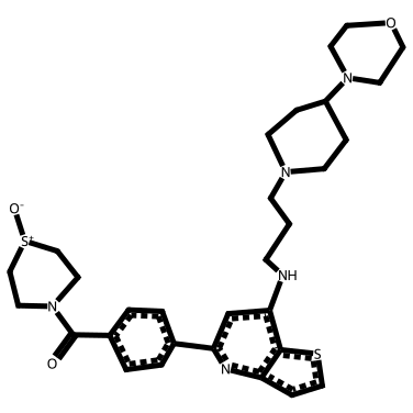 O=C(c1ccc(-c2cc(NCCCN3CCC(N4CCOCC4)CC3)c3sccc3n2)cc1)N1CC[S+]([O-])CC1